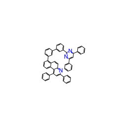 c1ccc(-c2cc(-c3ccccc3)nc(-c3cccc(-c4cccc(-c5cccc6c5ccc5nc(-c7ccccc7)cc(-c7ccccc7)c56)c4)c3)n2)cc1